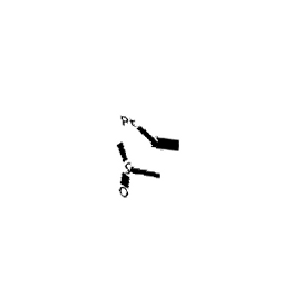 C=[CH][Pt].CS(C)=O